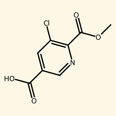 COC(=O)c1ncc(C(=O)O)cc1Cl